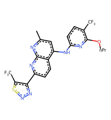 CCCOc1nc(Nc2cc(C)nc3nc(-c4nnsc4C(F)(F)F)ccc23)ccc1C(F)(F)F